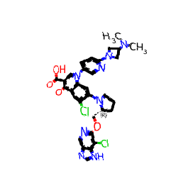 CN(C)C1CN(c2ccc(-n3cc(C(=O)O)c(=O)c4cc(Cl)c(N5CCC[C@@H]5COc5ncc6nc[nH]c6c5Cl)cc43)cn2)C1